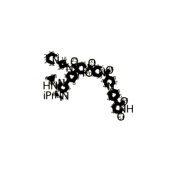 CC(C)n1cnc2cc(-c3ccc4c(c3)N([C@H]3C[C@@H](N5CCCCC5)C3)C(=O)C43CCN(C(=O)C4(O)CCN(C(=O)C5CCN(c6ccc(C7CCC(=O)NC7=O)cc6)CC5)CC4)CC3)nc(NC3CC3)c21